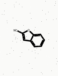 N#Cc1cc2c[c]ccc2o1